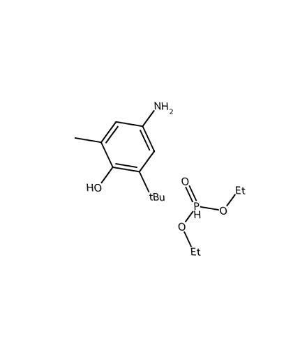 CCO[PH](=O)OCC.Cc1cc(N)cc(C(C)(C)C)c1O